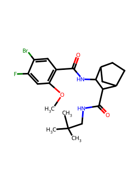 COc1cc(F)c(Br)cc1C(=O)NC1C2CCC(C2)C1C(=O)NCC(C)(C)C